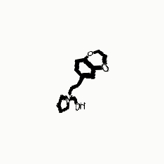 OC[N+]1(CCc2ccc3c(c2)OCCO3)CCCC1